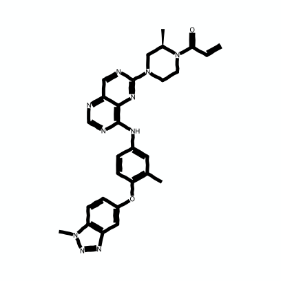 C=CC(=O)N1CCN(c2ncc3ncnc(Nc4ccc(Oc5ccc6c(c5)nnn6C)c(C)c4)c3n2)C[C@H]1C